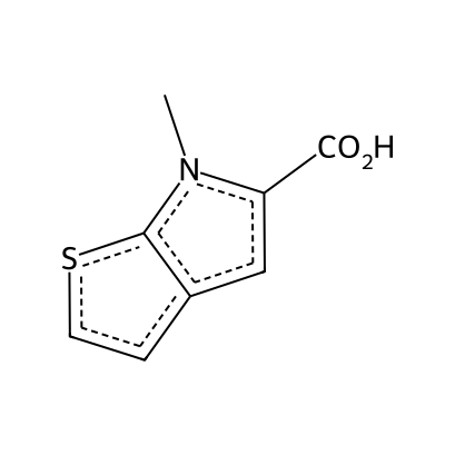 Cn1c(C(=O)O)cc2ccsc21